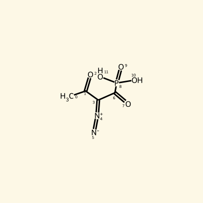 CC(=O)C(=[N+]=[N-])C(=O)P(=O)(O)O